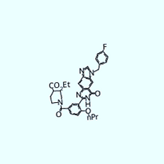 CCCOc1ccc(C(=O)N2CCC(C(=O)OCC)CC2)cc1-c1nc2cc3ncn(Cc4ccc(F)cc4)c3cc2c(=O)[nH]1